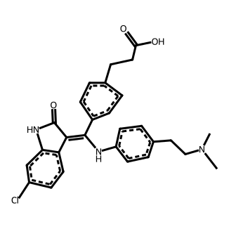 CN(C)CCc1ccc(NC(=C2C(=O)Nc3cc(Cl)ccc32)c2ccc(CCC(=O)O)cc2)cc1